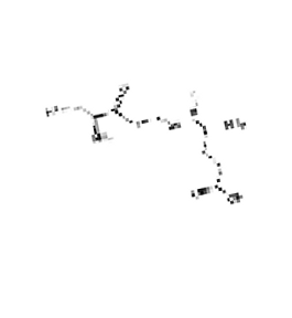 NC(CCC(=O)O)C(=O)[Se]COC(=O)[C@@H](N)C[SeH]